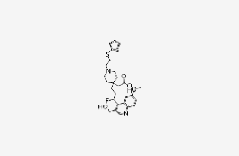 COc1ccc2ncc(CO)c([C@@H](F)CCC3(CC(=O)O)CCN(CCSc4cccs4)CC3)c2c1